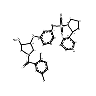 COC1CN(C(=O)c2cc(C)ccc2C)CC1Oc1cccc(CS(=O)(=O)N2CCCC2c2cccnc2)c1